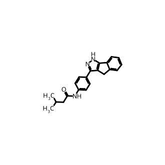 CC(C)CC(=O)Nc1ccc(-c2n[nH]c3c2Cc2ccccc2-3)cc1